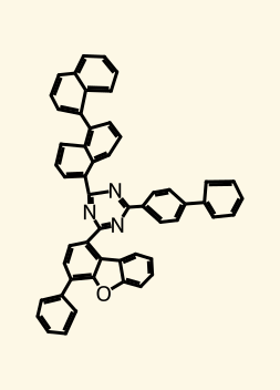 c1ccc(-c2ccc(-c3nc(-c4cccc5c(-c6cccc7ccccc67)cccc45)nc(-c4ccc(-c5ccccc5)c5oc6ccccc6c45)n3)cc2)cc1